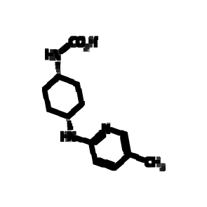 Cc1ccc(N[C@H]2CC[C@@H](NC(=O)O)CC2)nc1